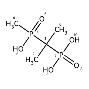 CC(C)(P(C)(=O)O)P(=O)(O)O